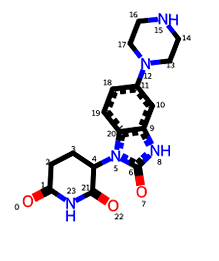 O=C1CCC(n2c(=O)[nH]c3cc(N4CCNCC4)ccc32)C(=O)N1